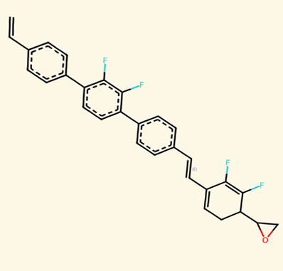 C=Cc1ccc(-c2ccc(-c3ccc(/C=C/C4=CCC(C5CO5)C(F)=C4F)cc3)c(F)c2F)cc1